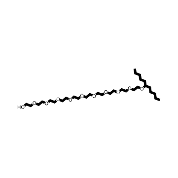 CCCCCC(CCCCC)OCCOCCOCCOCCOCCOCCOCCOCCOCCOCCO